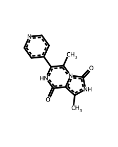 Cc1[nH]c(=O)n2c(C)c(-c3ccncc3)[nH]c(=O)c12